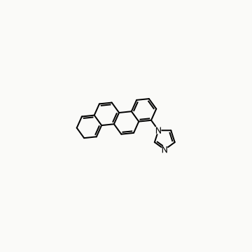 C1=c2ccc3c(ccc4c(-n5ccnc5)cccc43)c2=CCC1